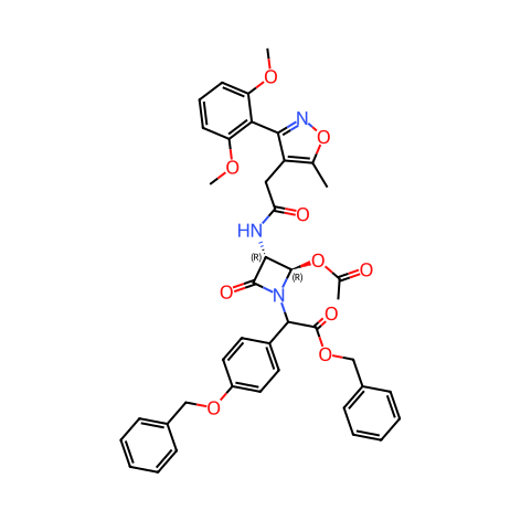 COc1cccc(OC)c1-c1noc(C)c1CC(=O)N[C@H]1C(=O)N(C(C(=O)OCc2ccccc2)c2ccc(OCc3ccccc3)cc2)[C@@H]1OC(C)=O